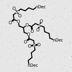 CCCCCCCCCCCCCCS(=O)(=O)CC(=O)OCC(COC(=O)CS(=O)(=O)CCCCCCCCCCCCCC)OC(=O)CS(=O)(=O)CCCCCCCCCCCCCC